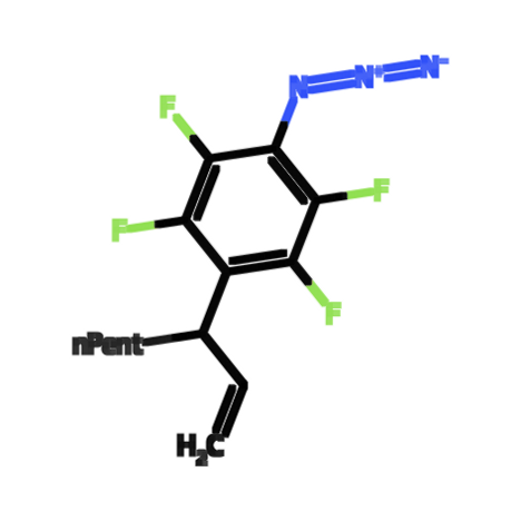 C=CC(CCCCC)c1c(F)c(F)c(N=[N+]=[N-])c(F)c1F